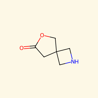 O=C1CC2(CNC2)CO1